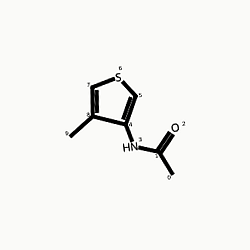 CC(=O)Nc1cscc1C